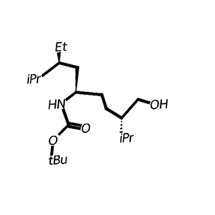 CC[C@@H](C[C@@H](CC[C@H](CO)C(C)C)NC(=O)OC(C)(C)C)C(C)C